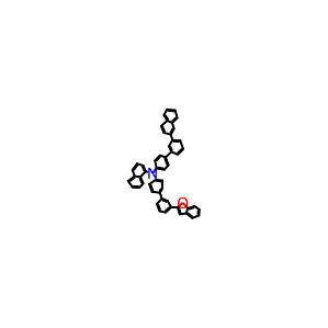 c1cc(-c2ccc(N(c3ccc(-c4cccc(-c5cc6ccccc6o5)c4)cc3)c3cccc4ccccc34)cc2)cc(-c2ccc3ccccc3c2)c1